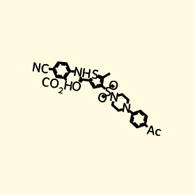 CC(=O)c1ccc(N2CCN(S(=O)(=O)c3cc(C(=O)Nc4ccc(C#N)cc4C(=O)O)sc3C)CC2)cc1